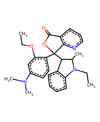 CCOc1cc(N(C)C)ccc1C1(C2c3ccccc3N(CC)C2C)OC(=O)c2cccnc21